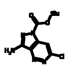 CC(C)(C)OC(=O)n1nc(N)c2nnc(Cl)cc21